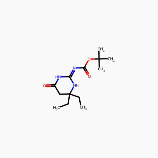 CCC1(CC)CC(=O)N/C(=N/C(=O)OC(C)(C)C)N1